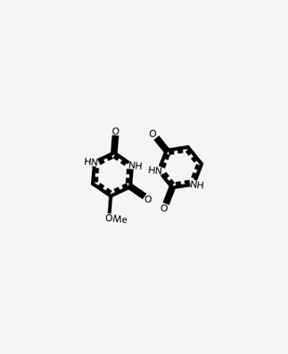 COc1c[nH]c(=O)[nH]c1=O.O=c1cc[nH]c(=O)[nH]1